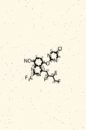 N#Cc1ccc(Oc2ncc(Cl)cn2)c2c(CC(F)C(F)CF)nc(C(F)(F)F)nc12